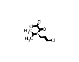 CC(C)N(C/C=C/Cl)C(=O)C(Cl)Cl